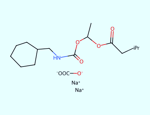 CC(C)CC(=O)OC(C)OC(=O)NCC1CCCCC1.O=C([O-])[O-].[Na+].[Na+]